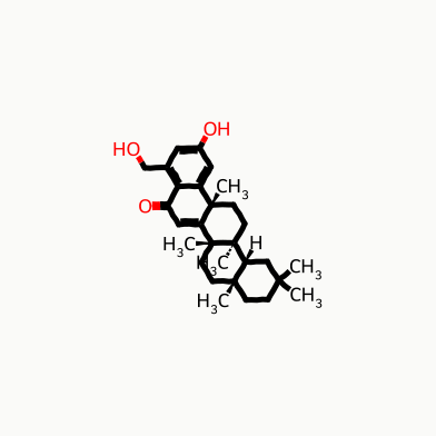 CC1(C)CC[C@]2(C)CC[C@]3(C)C4=CC(=O)c5c(CO)cc(O)cc5[C@]4(C)CC[C@@]3(C)[C@@H]2C1